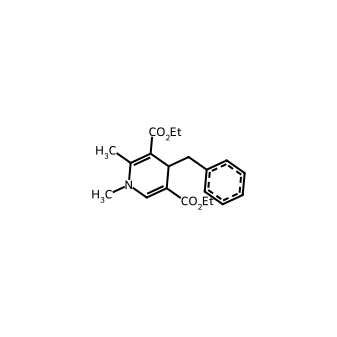 CCOC(=O)C1=CN(C)C(C)=C(C(=O)OCC)C1Cc1ccccc1